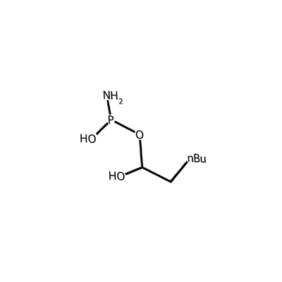 CCCCCC(O)OP(N)O